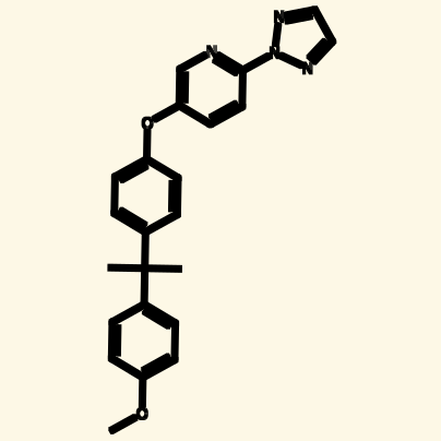 COc1ccc(C(C)(C)c2ccc(Oc3ccc(-n4nccn4)nc3)cc2)cc1